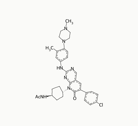 CC(=O)N[C@H]1CC[C@H](n2c(=O)c(-c3ccc(Cl)cc3)cc3cnc(Nc4ccc(N5CCN(C)CC5)c(C)c4)nc32)CC1